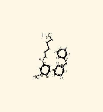 CCCCCCOc1cccc(O)c1.c1ccc(Sc2ccccc2)cc1